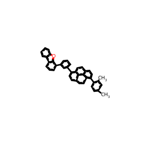 Cc1ccc(-c2ccc3ccc4c(-c5cccc(-c6cccc7c6oc6ccccc67)c5)ccc5ccc2c3c54)c(C)c1